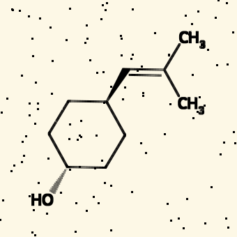 CC(C)=C[C@H]1CC[C@H](O)CC1